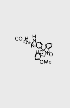 COc1ccccc1CN1C(=O)c2ccccc2C1(O)c1ccc2[nH]c(N(C)C(=O)O)nc2c1